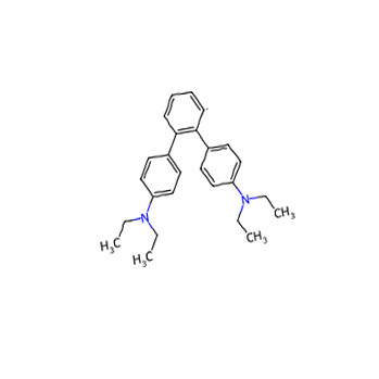 CCN(CC)c1ccc(-c2[c]cccc2-c2ccc(N(CC)CC)cc2)cc1